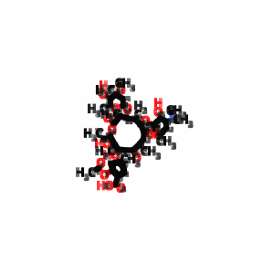 CC(=O)Oc1ccccc1C(=O)O.CC[C@H]1OC(=O)[C@H](C)[C@@H](O[C@H]2C[C@@](C)(OC)[C@@H](O)[C@H](C)O2)[C@@H](C)[C@@H](O[C@@H]2O[C@H](C)C[C@H](N(C)C)[C@H]2O)[C@](C)(O)C[C@@H](C)C(=O)[C@H](C)[C@H](O)[C@]1(C)O